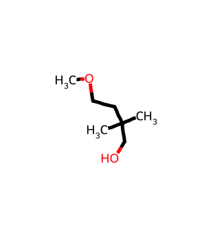 COCCC(C)(C)CO